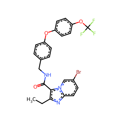 CCc1nc2ccc(Br)cn2c1C(=O)NCc1ccc(Oc2ccc(OC(F)(F)F)cc2)cc1